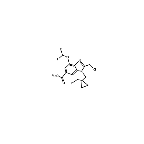 COC(=O)c1cc(OC(F)F)c2nc(CCl)n(CC3(CF)CC3)c2c1